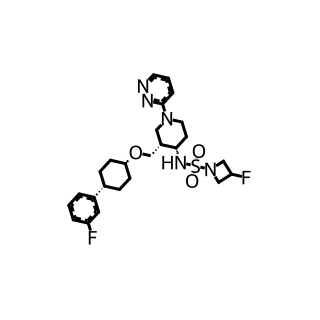 O=S(=O)(N[C@H]1CCN(c2cccnn2)C[C@H]1CO[C@H]1CC[C@@H](c2cccc(F)c2)CC1)N1CC(F)C1